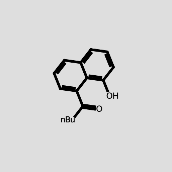 CCCCC(=O)c1cccc2cccc(O)c12